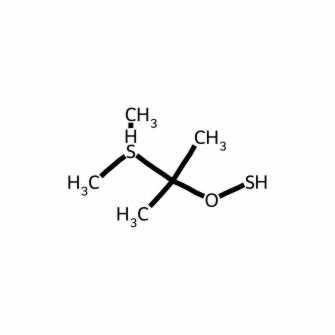 C[SH](C)C(C)(C)OS